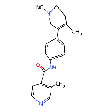 CC1=C(c2ccc(NC(=O)c3ccncc3C)cc2)CN(C#N)CC1